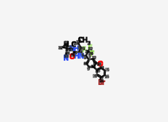 CC(C)CC(NC(c1ccc2c(c1)oc1ccc(Br)cc12)C(F)(F)F)C(=O)NC1(C#N)CC1